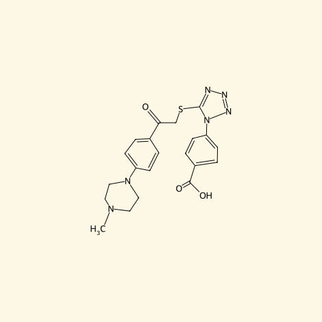 CN1CCN(c2ccc(C(=O)CSc3nnnn3-c3ccc(C(=O)O)cc3)cc2)CC1